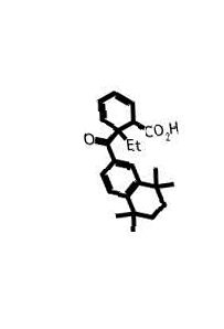 CCC1(C(=O)c2ccc3c(c2)C(C)(C)CCC3(C)C)C=CC=CC1C(=O)O